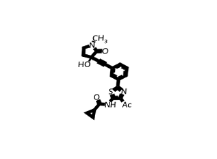 CC(=O)c1nc(-c2cccc(C#C[C@]3(O)CCN(C)C3=O)c2)sc1NC(=O)C1CC1